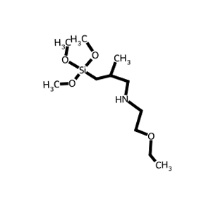 CCOCCNCC(C)C[Si](OC)(OC)OC